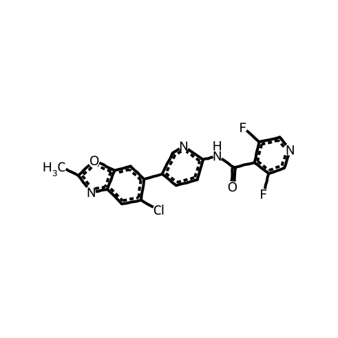 Cc1nc2cc(Cl)c(-c3ccc(NC(=O)c4c(F)cncc4F)nc3)cc2o1